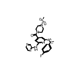 C[C@H](Nc1cc(C(=O)N2CCN(S(C)(=O)=O)CC2)cc(Nc2cnccn2)n1)c1ccc(F)cc1